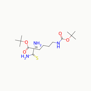 CC(C)(C)OC(=O)NCCCC[C@](N)(C(=O)OC(C)(C)C)C(N)=S